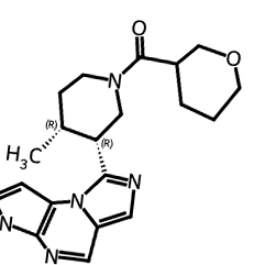 C[C@@H]1CCN(C(=O)C2CCCOC2)C[C@@H]1c1ncc2cnc3[nH]ccc3n12